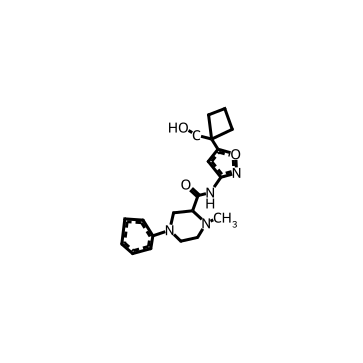 CN1CCN(c2ccccc2)CC1C(=O)Nc1cc(C2(CO)CCC2)on1